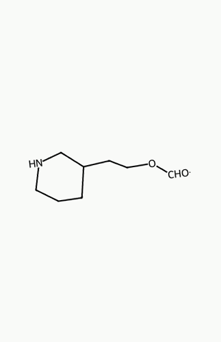 O=[C]OCCC1CCCNC1